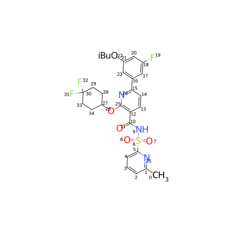 Cc1cccc(S(=O)(=O)NC(=O)c2ccc(-c3cc(F)cc(OCC(C)C)c3)nc2OC2CCC(F)(F)CC2)n1